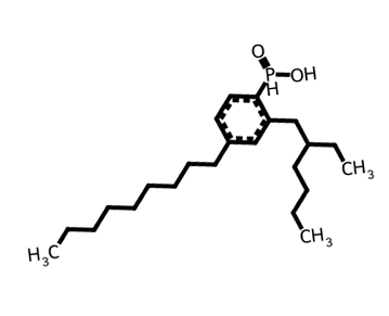 CCCCCCCCCc1ccc([PH](=O)O)c(CC(CC)CCCC)c1